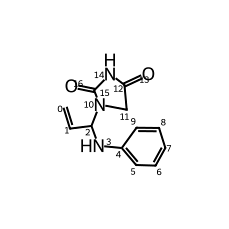 C=CC(Nc1ccccc1)N1CC(=O)NC1=O